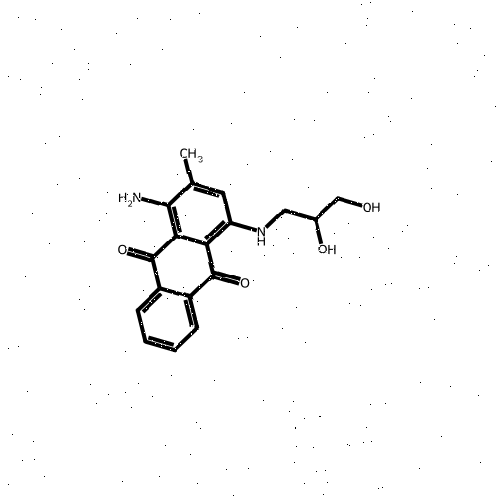 Cc1cc(NCC(O)CO)c2c(c1N)C(=O)c1ccccc1C2=O